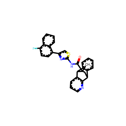 CC1(C(=O)Nc2nc(-c3ccc(F)c4ccccc34)cs2)CC2c3ccccc3C1c1cccnc12